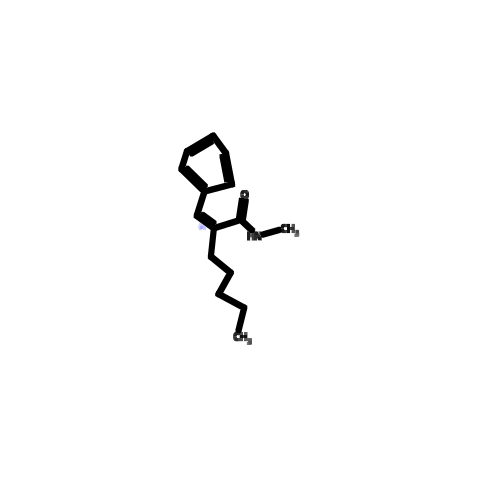 CCCCC/C(=C/c1ccccc1)C(=O)NC